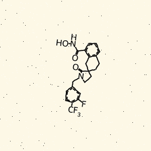 O=C(NO)c1cccc2c1CC1(CC2)CCN(Cc2ccc(C(F)(F)F)c(F)c2)C1=O